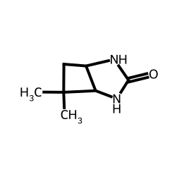 CC1(C)CC2NC(=O)NC21